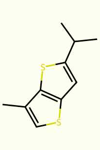 Cc1csc2cc(C(C)C)sc12